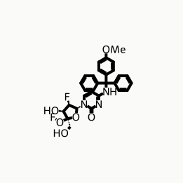 COc1ccc(C(Nc2ccn([C@@H]3O[C@@](CO)(OF)[C@@H](O)[C@H]3F)c(=O)n2)(c2ccccc2)c2ccccc2)cc1